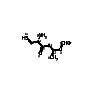 CC(O[C]=O)SC(=O)[C@@H](N)CS